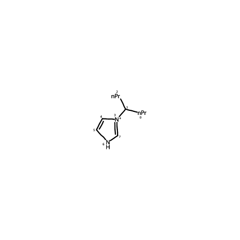 CCCC(CCC)[n+]1cc[nH]c1